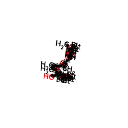 C=CC[C@@H]1O[C@@H]2[C@H]3O[C@@H]4CC(CC[C@H]5CC(=C)[C@H](CC[C@H]6C[C@@H](C)C(=C)[C@@H](C[C@@H]7O[C@H](CC(CO[Si](CC)(CC)CC)O[Si](CC)(CC)CC)[C@H](OC)[C@H]7CCO)O6)O5)(O[C@H]3[C@H]1O[Si](CC)(CC)CC)O[C@H]24